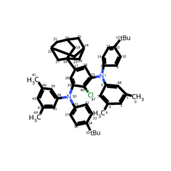 Cc1cc(C)cc(N(c2ccc(C(C)(C)C)cc2)c2cc(C34CC5CC(CC(C5)C3)C4)cc(N(c3ccc(C(C)(C)C)cc3)c3cc(C)cc(C)c3)c2Cl)c1